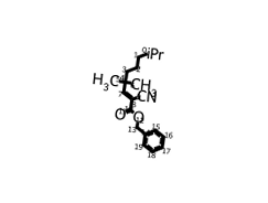 CC(C)CCCC(C)(C)/C=C(\C#N)C(=O)OCc1ccccc1